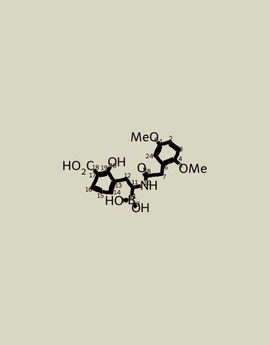 COc1ccc(OC)c(CC(=O)NC(Cc2cccc(C(=O)O)c2O)B(O)O)c1